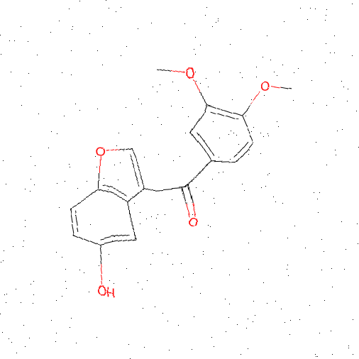 COc1ccc(C(=O)c2coc3ccc(O)cc23)cc1OC